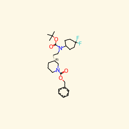 CC(C)(C)OC(=O)N(CC[C@H]1CCCN(C(=O)OCc2ccccc2)C1)C1CCC(F)(F)CC1